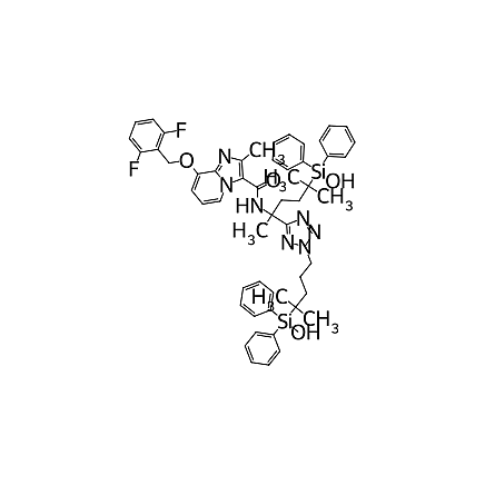 Cc1nc2c(OCc3c(F)cccc3F)cccn2c1C(=O)NC(C)(CCC(C)(C)[Si](O)(c1ccccc1)c1ccccc1)c1nnn(CCCC(C)(C)[Si](O)(c2ccccc2)c2ccccc2)n1